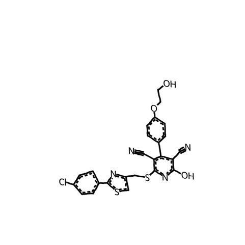 N#Cc1c(O)nc(SCc2csc(-c3ccc(Cl)cc3)n2)c(C#N)c1-c1ccc(OCCO)cc1